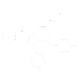 CC(C)(C)OC(=O)N1CC(=Cc2ccc(F)cc2)c2c(c(C(=O)N3CCCCC3)nn2-c2ccc(Cl)cc2Cl)C1